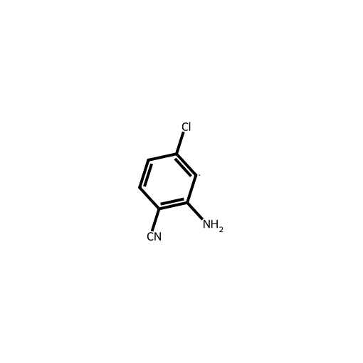 N#Cc1ccc(Cl)[c]c1N